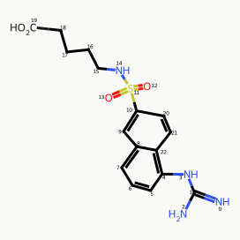 N=C(N)Nc1cccc2cc(S(=O)(=O)NCCCCC(=O)O)ccc12